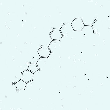 O=C(O)C1CCC(Oc2ccc(-c3ccc(-c4nc5cc6cn[nH]c6cc5[nH]4)cn3)cn2)CC1